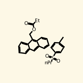 CCC(=O)OCc1c2ccccc2cc2ccccc12.CCCS(=O)(=O)c1ccc(C)cc1